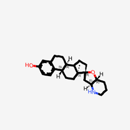 C[C@]12CC[C@@H]3c4ccc(O)cc4CC[C@H]3C1CC[C@@]21C[C@@H]2NCCC[C@H]2O1